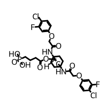 O=C(COc1ccc(Cl)c(F)c1)NC12CCC(NC(=O)COc3ccc(Cl)c(F)c3)(CC1)[C@@H](OC(=O)CCCP(=O)(O)O)C2